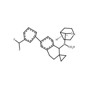 O=C(O)N(C1c2ccc(-c3cccc(C(F)F)c3)cc2CCC12CC2)[C@@H]1CN2CCC1CC2